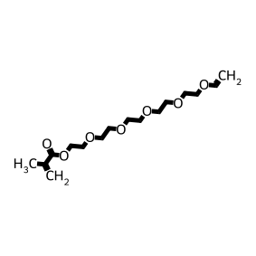 C=COCCOCCOCCOCCOCCOC(=O)C(=C)C